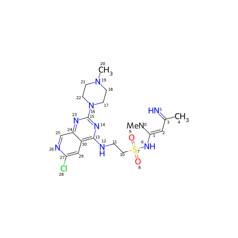 CN/C(=C\C(C)=N)NS(=O)(=O)CCNc1nc(N2CCN(C)CC2)nc2cnc(Cl)cc12